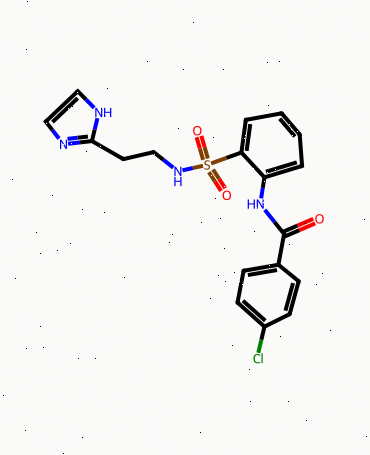 O=C(Nc1ccccc1S(=O)(=O)NCCc1ncc[nH]1)c1ccc(Cl)cc1